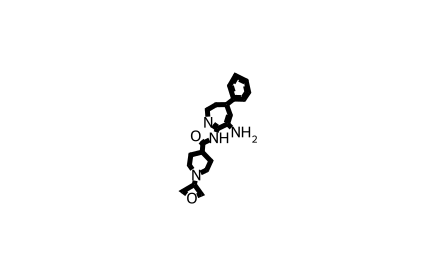 NC1=CC(c2ccccc2)CCN=C1NC(=O)C1CCN(C2COC2)CC1